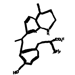 CC1CCNc2nc(C(C)c3cc(O)ccc3C[C@H](N)C(=O)O)ccc21